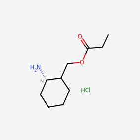 CCC(=O)OCC1CCCC[C@@H]1N.Cl